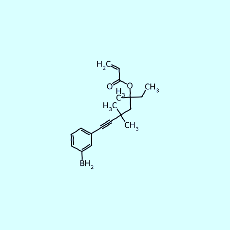 Bc1cccc(C#CC(C)(C)CC(C)(CC)OC(=O)C=C)c1